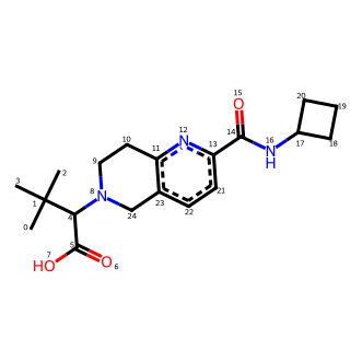 CC(C)(C)C(C(=O)O)N1CCc2nc(C(=O)NC3CCC3)ccc2C1